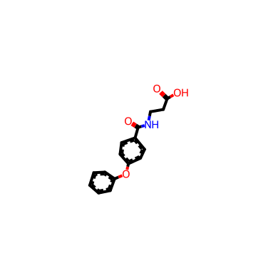 O=C(O)CCNC(=O)c1ccc(Oc2ccccc2)cc1